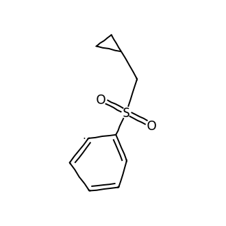 O=S(=O)(CC1CC1)c1[c]cccc1